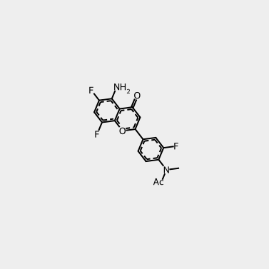 CC(=O)N(C)c1ccc(-c2cc(=O)c3c(N)c(F)cc(F)c3o2)cc1F